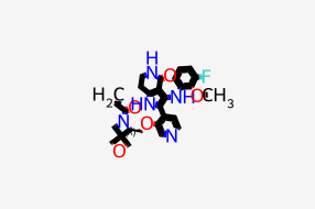 C=CC(=O)N1CC2(COC2)[C@@H]1COc1cnccc1-c1[nH]c2c(c1Nc1cccc(F)c1OC)C(=O)NCC2